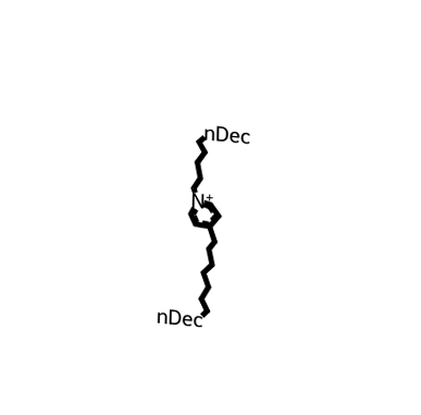 CCCCCCCCCCCCCCCCCc1cc[n+](CCCCCCCCCCCCCCC)cc1